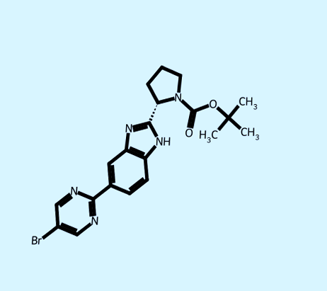 CC(C)(C)OC(=O)N1CCC[C@H]1c1nc2cc(-c3ncc(Br)cn3)ccc2[nH]1